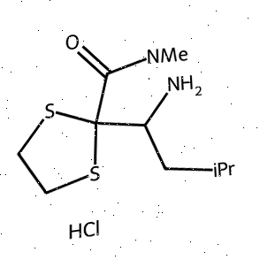 CNC(=O)C1(C(N)CC(C)C)SCCS1.Cl